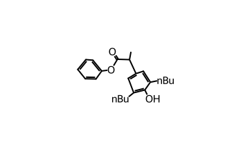 CCCCc1cc(C(C)C(=O)Oc2ccccc2)cc(CCCC)c1O